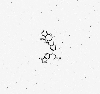 Cc1ccc(C(CC(=O)O)c2cnc3c(c2)nnn3C)cc1CN1CC(C)Oc2ccccc2S1(O)O